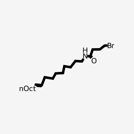 CCCCCCCCC=CCCCCCCCCNC(=O)CCCBr